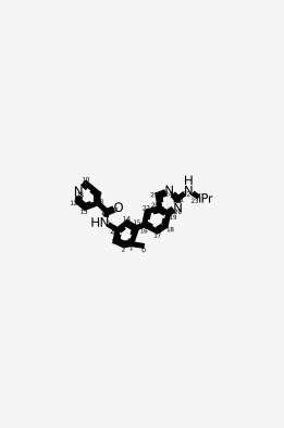 Cc1ccc(NC(=O)c2ccncc2)cc1-c1ccc2nc(NC(C)C)ncc2c1